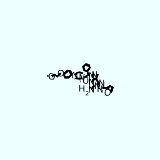 COCCOc1ccc(N2CCN(C(=O)[C@@H](c3ccccc3)n3ncc4c3nc(N)n3nc(-c5ccco5)nc43)[C@H](C)C2)cc1